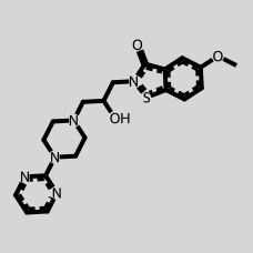 COc1ccc2sn(CC(O)CN3CCN(c4ncccn4)CC3)c(=O)c2c1